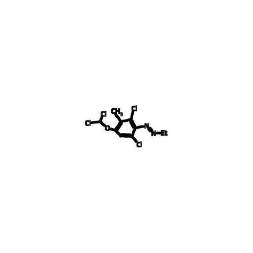 CCN=Nc1c(Cl)cc(OC(Cl)Cl)c(C)c1Cl